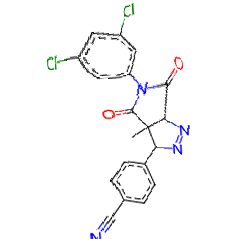 CC12C(=O)N(c3cc(Cl)cc(Cl)c3)C(=O)C1N=NC2c1ccc(C#N)cc1